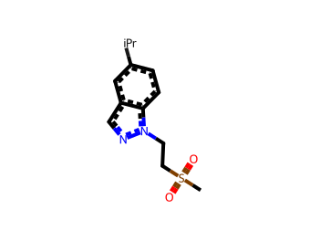 CC(C)c1ccc2c(cnn2CCS(C)(=O)=O)c1